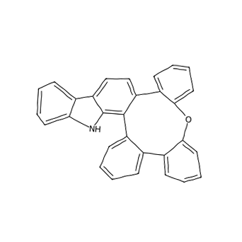 c1ccc2c(c1)[nH]c1c2ccc2c3ccccc3oc3ccccc3c3ccccc3c21